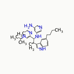 C=C(c1c[nH]c2ccc(CCCC)cc12)C(Nc1cncc(N)c1)C(=C/N=C(C)C)/N=C\C